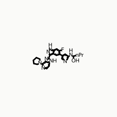 CCCC(O)Nc1cncc(-c2cc3c(-c4nc5c(N6CCCCC6)nccc5[nH]4)n[nH]c3cc2F)c1